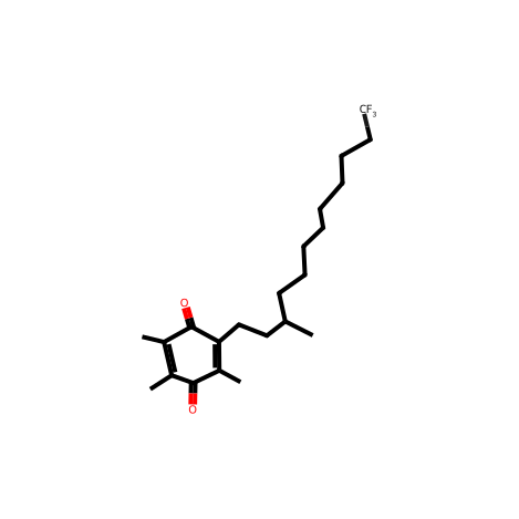 CC1=C(C)C(=O)C(CCC(C)CCCCCCCCC(F)(F)F)=C(C)C1=O